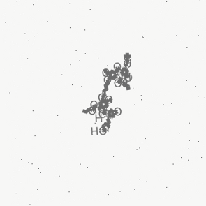 C=CCOC(=O)Nc1cc(OCCCCCOc2cc(NC(=O)OCCC)c(C(=O)N3CC(=O)C[C@H]3CCC(C)(C)[Si](C)(C)O)cc2OC)c(OC)cc1C(=O)N1CC(=O)C[C@H]1CO[Si](C)(C)C(C)(C)C